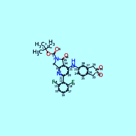 CC(C)(C)OC(=O)N1Cc2nc(-c3c(F)cccc3F)cc(Nc3ccc4c(c3)CS(=O)(=O)C4)c2C1=O